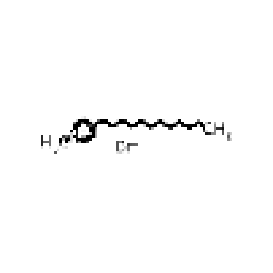 CCCCCCCCCCCCc1cc[n+](C)cc1.[Br-]